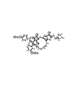 COc1ccc(CN(Cc2ccc(OC)cc2)c2nc3nc4c2[nH]c(=O)n4Cc2cc(c4c(c2)C(=O)N(CCN2CCCC2)C4)CC=CCCO3)cc1